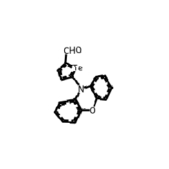 O=Cc1ccc(N2c3ccccc3Oc3ccccc32)[te]1